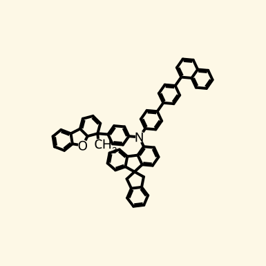 CC1(c2ccc(N(c3ccc(-c4ccc(-c5cccc6ccccc56)cc4)cc3)c3cccc4c3-c3ccccc3C43Cc4ccccc4C3)cc2)C=CC=C2c3ccccc3OC21